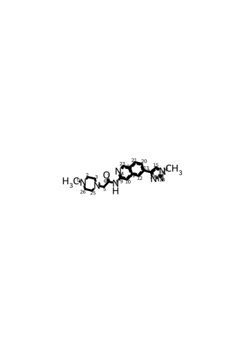 CN1CCN(CC(=O)Nc2cc3cc(-c4cn(C)nn4)ccc3cn2)CC1